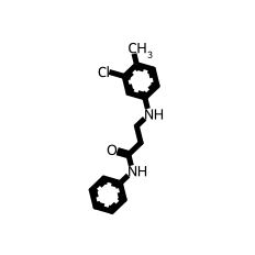 Cc1ccc(NCCC(=O)Nc2ccccc2)cc1Cl